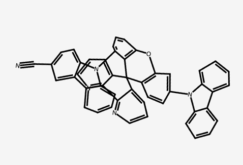 N#Cc1ccc2c(c1)c1ccccc1n2-c1cccc2c1C1(c3ccc(-n4c5ccccc5c5ccccc54)cc3O2)c2cccnc2-c2ncccc21